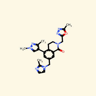 Cc1nnc(CN2CCc3c(cc(Cn4ccnc4C)cc3-c3cn(C)nc3C(F)(F)F)C2=O)o1